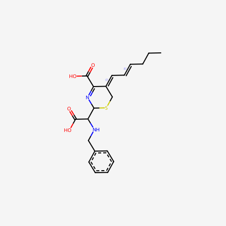 CCC/C=C/C=C1\CSC(C(NCc2ccccc2)C(=O)O)N=C1C(=O)O